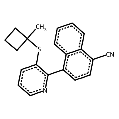 CC1(Sc2cccnc2-c2ccc(C#N)c3ccccc23)CCC1